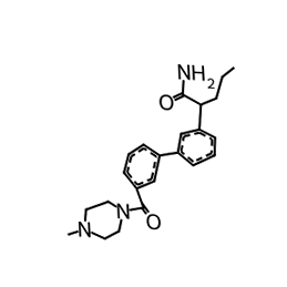 CCCC(C(N)=O)c1cccc(-c2cccc(C(=O)N3CCN(C)CC3)c2)c1